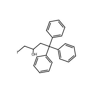 OC(CI)CC(c1ccccc1)(c1ccccc1)c1ccccc1